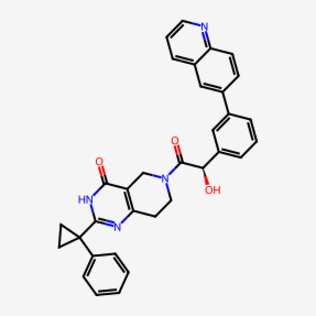 O=C([C@H](O)c1cccc(-c2ccc3ncccc3c2)c1)N1CCc2nc(C3(c4ccccc4)CC3)[nH]c(=O)c2C1